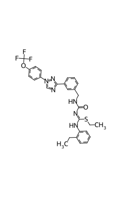 CCS/C(=N\C(=O)NCc1cccc(-c2ncn(-c3ccc(OC(F)(F)F)cc3)n2)c1)Nc1ccccc1CC